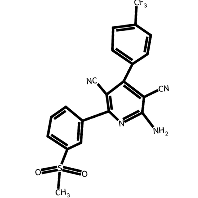 CS(=O)(=O)c1cccc(-c2nc(N)c(C#N)c(-c3ccc(C(F)(F)F)cc3)c2C#N)c1